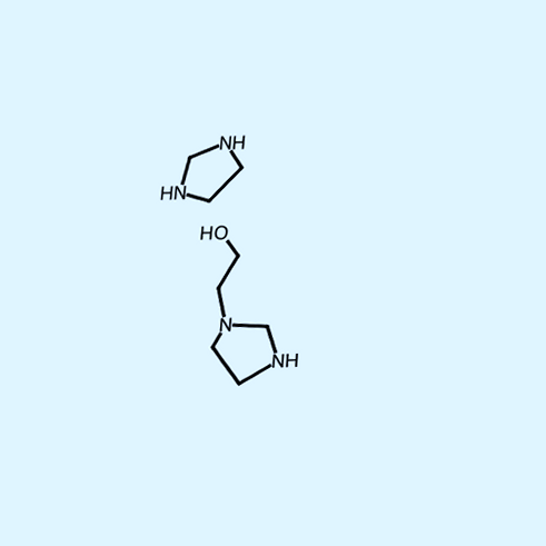 C1CNCN1.OCCN1CCNC1